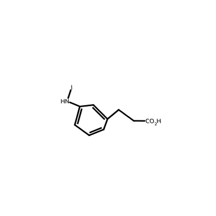 O=C(O)CCc1cccc(NI)c1